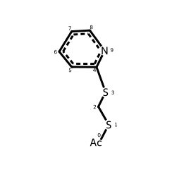 CC(=O)SCSc1ccccn1